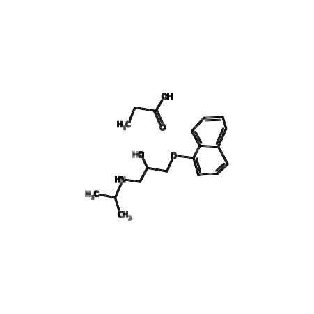 CC(C)NCC(O)COc1cccc2ccccc12.CCC(=O)O